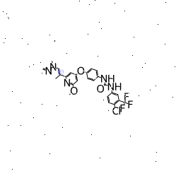 C=NN(C)/C=C(\C)c1cc(Oc2ccc(NC(=O)Nc3ccc(Cl)c(C(F)(F)F)c3)cc2)cc(OC)n1